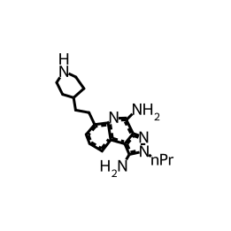 CCCn1nc2c(N)nc3c(CCC4CCNCC4)cccc3c2c1N